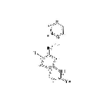 O=c1ccc2cc(F)c(NCc3ccccn3)cc2[nH]1